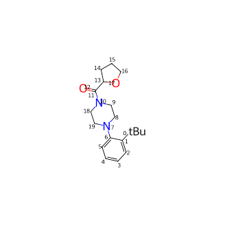 CC(C)(C)c1ccccc1N1CCN(C(=O)C2CCCO2)CC1